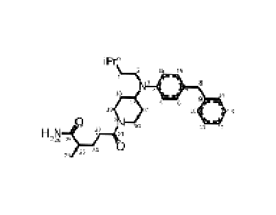 CC(C)CCN(c1ccc(Cc2ccccc2)cc1)C1CCN(C(=O)[CH]CC(C)C(N)=O)CC1